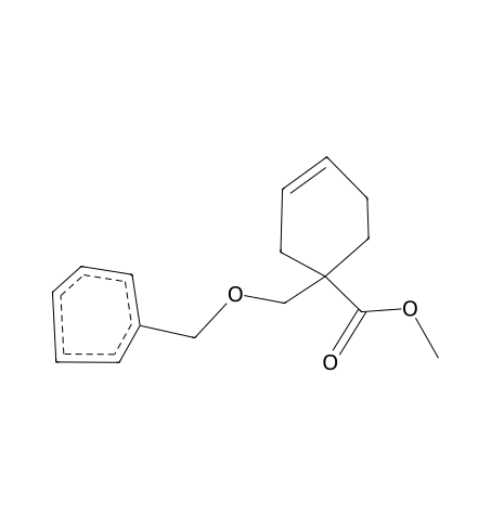 COC(=O)C1(COCc2ccccc2)CC=CCC1